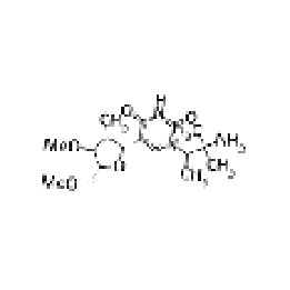 COC[C@H]1O[C@@H](c2cn(C(C)C(C)(C)N)c(=O)[nH]c2=O)[C@@H](C)C1OC